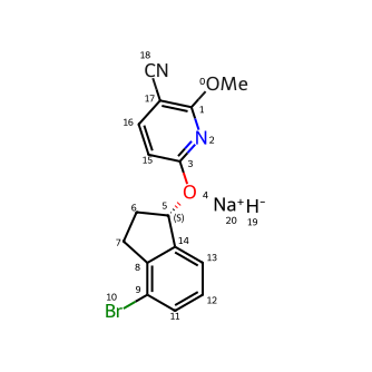 COc1nc(O[C@H]2CCc3c(Br)cccc32)ccc1C#N.[H-].[Na+]